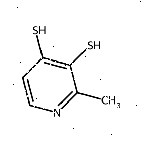 Cc1nccc(S)c1S